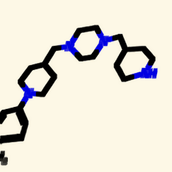 Cc1ccc(N2CCC(CN3CCN(CC4CCNCC4)CC3)CC2)cc1